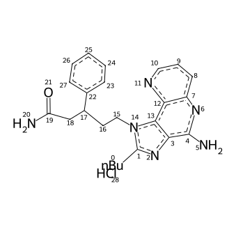 CCCCc1nc2c(N)nc3cccnc3c2n1CCC(CC(N)=O)c1ccccc1.Cl